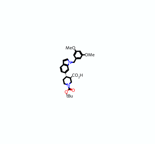 COc1cc(Cn2ccc3ccc([C@H]4CCN(C(=O)OC(C)(C)C)C[C@@H]4C(=O)O)cc32)cc(OC)c1